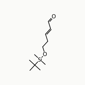 CC(C)(C)[Si](C)(C)OCCC=CC=O